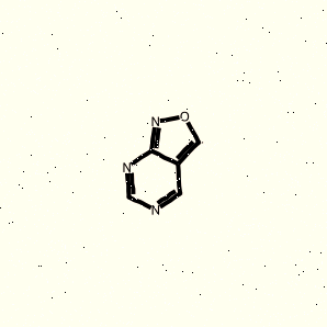 [c]1onc2ncncc12